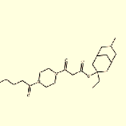 CCC1(OC(=O)CC(=O)N2CCN(C(=O)CCCN)CC2)CC2CC(C)CC(C2)C1